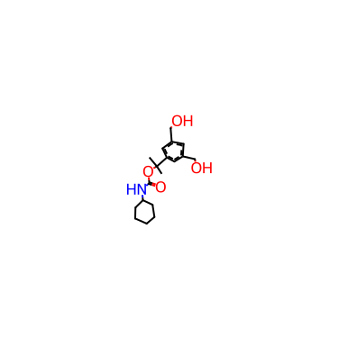 CC(C)(OC(=O)NC1CCCCC1)c1cc(CO)cc(CO)c1